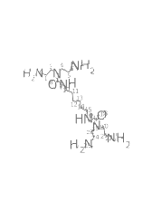 NCCN(CCN)C(=O)NCCCCCCNC(=O)N(CCN)CCN